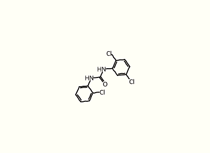 O=C(Nc1ccccc1Cl)Nc1cc(Cl)ccc1Cl